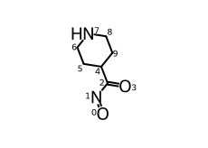 O=NC(=O)C1CCNCC1